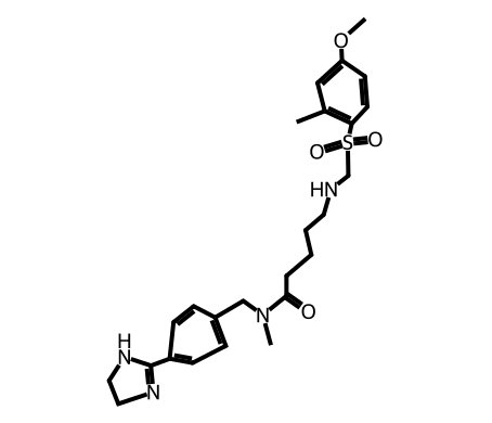 COc1ccc(S(=O)(=O)CNCCCCC(=O)N(C)Cc2ccc(C3=NCCN3)cc2)c(C)c1